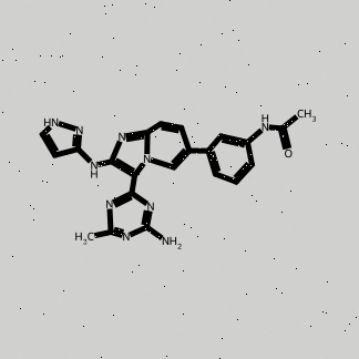 CC(=O)Nc1cccc(-c2ccc3nc(Nc4cc[nH]n4)c(-c4nc(C)nc(N)n4)n3c2)c1